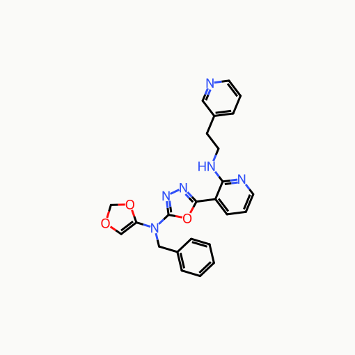 C1=C(N(Cc2ccccc2)c2nnc(-c3cccnc3NCCc3cccnc3)o2)OCO1